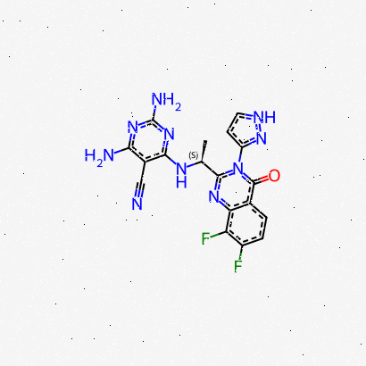 C[C@H](Nc1nc(N)nc(N)c1C#N)c1nc2c(F)c(F)ccc2c(=O)n1-c1cc[nH]n1